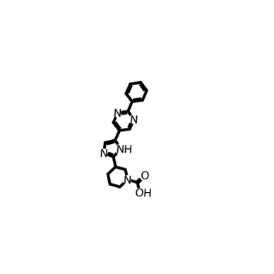 O=C(O)N1CCCC(c2ncc(-c3cnc(-c4ccccc4)nc3)[nH]2)C1